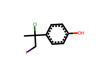 CC(Cl)(CI)c1ccc(O)cc1